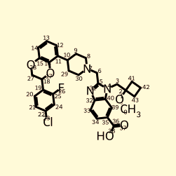 COC1(Cn2c(CN3CCC(c4cccc5c4OC(c4ccc(Cl)cc4F)CO5)CC3)nc3ccc(C(=O)O)cc32)CCC1